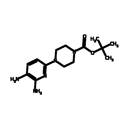 CC(C)(C)OC(=O)N1CCN(c2ccc(N)c(N)n2)CC1